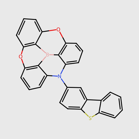 c1cc2c3c(c1)Oc1cccc4c1B3c1c(cccc1N4c1ccc3sc4ccccc4c3c1)O2